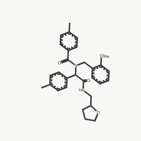 COc1ccccc1CN(C(=O)c1ccc(C)cc1)C(C(=O)NCC1CCCO1)c1ccc(C)cc1